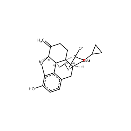 C=C1CC[C@@]2(OCCCC)[C@H]3Cc4ccc(O)c5c4[C@@]2(CC[N+]3([O-])CC2CC2)[C@H]1O5